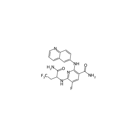 NC(=O)c1cc(F)c(NC(CC(F)(F)F)C(N)=O)nc1Nc1ccc2ncccc2c1